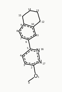 COc1ccc(-c2ccc3c(c2)[CH]CCC3)nn1